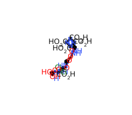 O=C(O)CN1CCN(CC(=O)O)CCN(CC(=O)O)C(Cc2ccc(NC(=O)NCCOCCOc3cccc(CNC(=O)c4cc(Cl)c(C(=O)N[C@@H](CNC(=O)c5cc(O)cc(O)c5)C(=O)O)c(Cl)c4)c3)cc2)CN(CC(=O)O)CC1